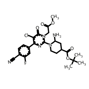 COC(=O)Cn1c(N2CCC(C(=O)OC(C)(C)C)CC2N)nc(-c2ccc(C#N)c(F)c2)c(Cl)c1=O